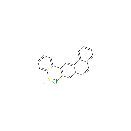 CSc1ccccc1-c1cc2c(ccc3ccccc32)cc1Cl